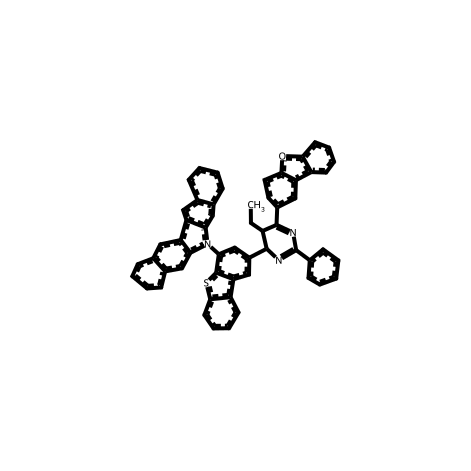 CCC1C(c2ccc3oc4ccccc4c3c2)=NC(c2ccccc2)=NC1c1cc(-n2c3cc4ccccc4cc3c3cc4ccccc4cc32)c2sc3ccccc3c2c1